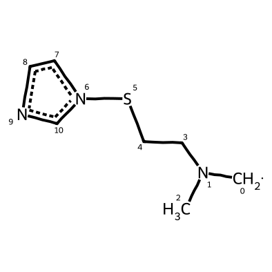 [CH2]N(C)CCSn1ccnc1